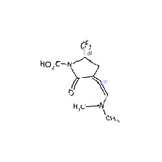 CN(C)/C=C1/C[C@@H](C(F)(F)F)N(C(=O)O)C1=O